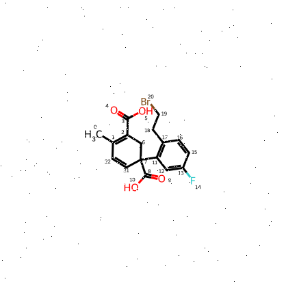 CC1=C(C(=O)O)CC(C(=O)O)(c2cc(F)ccc2CCBr)C=C1